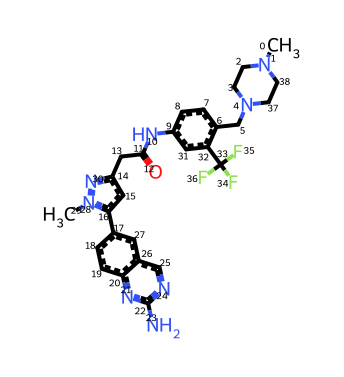 CN1CCN(Cc2ccc(NC(=O)Cc3cc(-c4ccc5nc(N)ncc5c4)n(C)n3)cc2C(F)(F)F)CC1